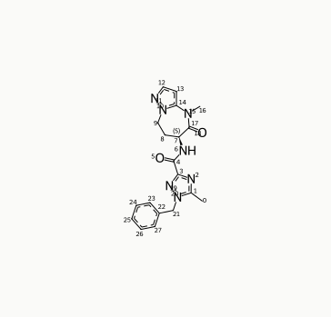 Cc1nc(C(=O)N[C@H]2CCn3nccc3N(C)C2=O)nn1Cc1ccccc1